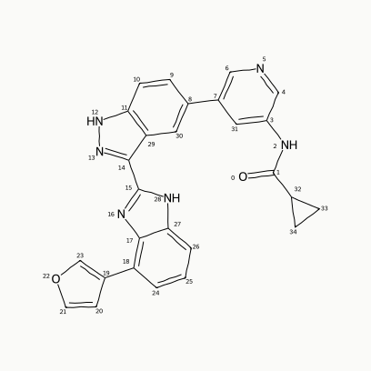 O=C(Nc1cncc(-c2ccc3[nH]nc(-c4nc5c(-c6ccoc6)cccc5[nH]4)c3c2)c1)C1CC1